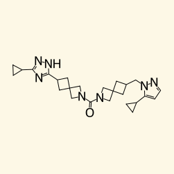 O=C(N1CC2(CC(Cn3nccc3C3CC3)C2)C1)N1CC2(CC(c3nc(C4CC4)n[nH]3)C2)C1